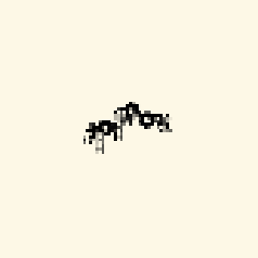 CN(Cc1cccc(-c2ccc3cnc(Nc4ccc5c(c4)NC(=O)C5(C)C)nn23)c1)S(C)(=O)=O